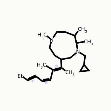 CC/C=C/C=C\C(C)=C(/C)C1CCN(C)CCC(C)C(C)N(CC2CC2)C1